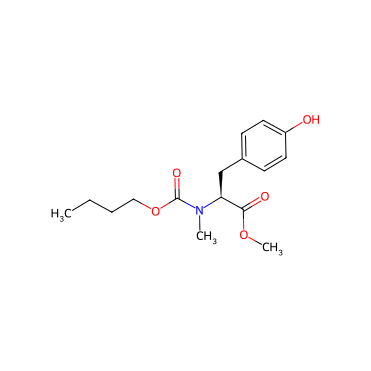 CCCCOC(=O)N(C)[C@@H](Cc1ccc(O)cc1)C(=O)OC